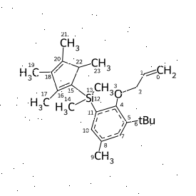 C=CCOc1c(C(C)(C)C)cc(C)cc1[Si](C)(C)C1=C(C)C(C)=C(C)C1C